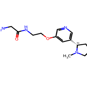 CN1CCC[C@H]1c1cncc(OCCNC(=O)CN)c1